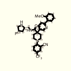 COc1ccccc1-c1ccc(C2(C(=O)NC[C@@H]3C[C@H](F)CN3)CCN(c3ccc(C(F)(F)F)cc3C#N)CC2)cn1